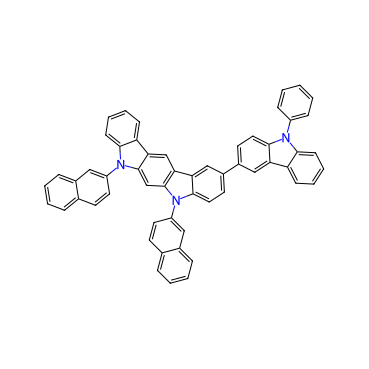 c1ccc(-n2c3ccccc3c3cc(-c4ccc5c(c4)c4cc6c7ccccc7n(-c7ccc8ccccc8c7)c6cc4n5-c4ccc5ccccc5c4)ccc32)cc1